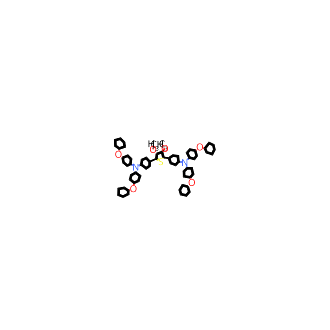 COc1c(-c2ccc(N(c3ccc(Oc4ccccc4)cc3)c3ccc(Oc4ccccc4)cc3)cc2)sc(-c2ccc(N(c3ccc(Oc4ccccc4)cc3)c3ccc(Oc4ccccc4)cc3)cc2)c1OC